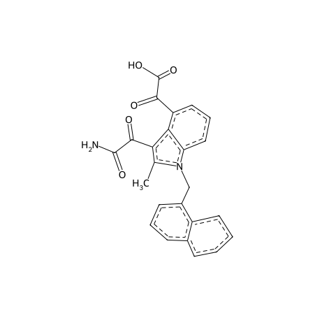 Cc1c(C(=O)C(N)=O)c2c(C(=O)C(=O)O)cccc2n1Cc1cccc2ccccc12